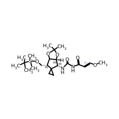 CO/C=C/C(=O)NC(=O)N[C@H]1[C@H]2OC(C)(C)OC2[C@@H](CO[Si](C)(C)C(C)(C)C)C12CC2